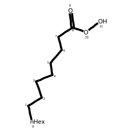 CCCCCCCCCCCCCC(=O)OO